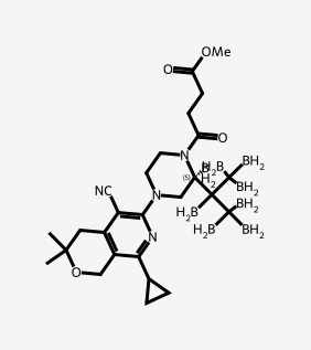 BC(B)(B)C(B)(C(B)(B)B)[C@@]1(B)CN(c2nc(C3CC3)c3c(c2C#N)CC(C)(C)OC3)CCN1C(=O)CCC(=O)OC